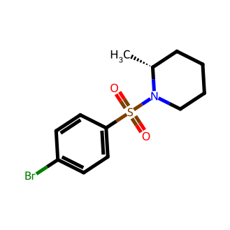 C[C@@H]1CCCCN1S(=O)(=O)c1ccc(Br)cc1